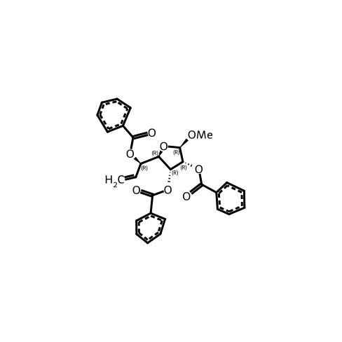 C=C[C@@H](OC(=O)c1ccccc1)[C@H]1O[C@@H](OC)[C@H](OC(=O)c2ccccc2)[C@@H]1OC(=O)c1ccccc1